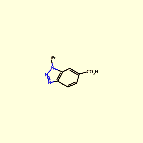 CC(C)n1nnc2ccc(C(=O)O)cc21